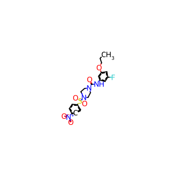 CCCOc1cc(F)cc(NC(=O)N2CCN(S(=O)(=O)c3ccc([N+](=O)[O-])cc3)CC2)c1